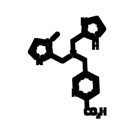 Cn1ccnc1CN(Cc1ccc(C(=O)O)nc1)Cc1ncc[nH]1